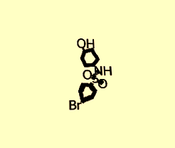 O=S(=O)(N[C@H]1CC[C@H](O)CC1)c1ccc(Br)cc1